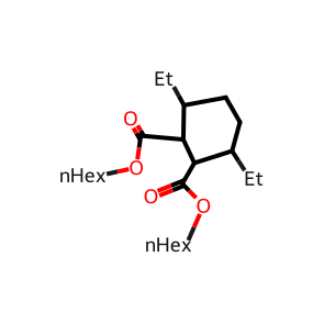 CCCCCCOC(=O)C1C(CC)CCC(CC)C1C(=O)OCCCCCC